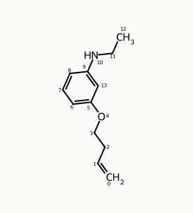 C=CCCOc1cccc(NCC)c1